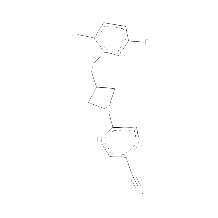 N#Cc1cnc(N2CC(Oc3cc(F)ccc3Br)C2)cn1